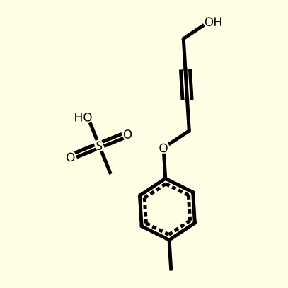 CS(=O)(=O)O.Cc1ccc(OCC#CCO)cc1